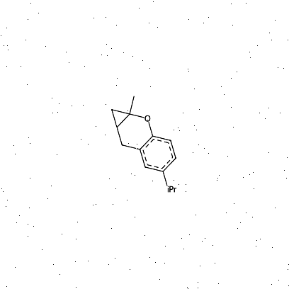 CC(C)c1ccc2c(c1)CC1CC1(C)O2